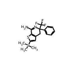 C[Si](C)(C)c1cc2c(s1)C(N)=NC(c1ccccc1)(C(F)(F)F)C2